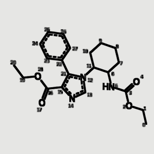 CCOC(=O)NC1CCCCC1n1cnc(C(=O)OCC)c1-c1ccccc1